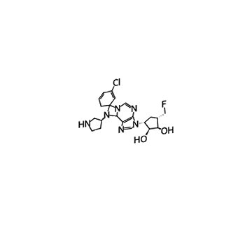 O[C@@H]1[C@@H](CF)C[C@@H](n2cnc3c2N=CN2C3N([C@H]3CCNC3)C23C=C(Cl)C=CC3)[C@@H]1O